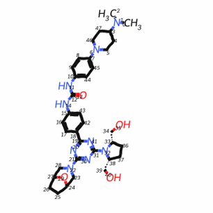 CN(C)C1CCN(c2ccc(NC(=O)Nc3ccc(-c4nc(N5CC6CCC(C5)O6)nc(N5[C@H](CO)CC[C@@H]5CO)n4)cc3)cc2)CC1